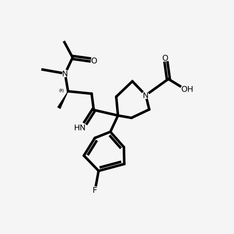 CC(=O)N(C)[C@H](C)CC(=N)C1(c2ccc(F)cc2)CCN(C(=O)O)CC1